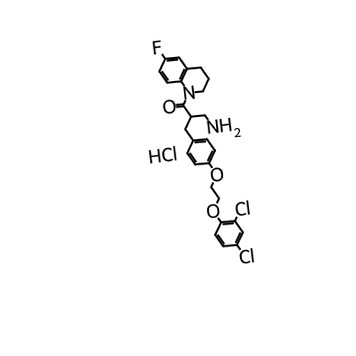 Cl.NCC(Cc1ccc(OCCOc2ccc(Cl)cc2Cl)cc1)C(=O)N1CCCc2cc(F)ccc21